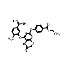 CCOC(=O)c1ccc(Oc2nc3c(c(Oc4cc(C(=N)N)ccc4C)n2)NC(=O)CO3)cc1